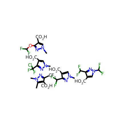 Cc1c(C(=O)O)c(C(F)(F)F)nn1C.Cn1cc(C(=O)O)c(C(F)(F)Cl)n1.Cn1cc(C(=O)O)c(C(F)F)n1.Cn1cc(C(=O)O)c(OC(F)F)n1.O=C(O)c1cn(C(F)F)nc1C(F)F